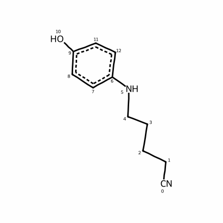 N#CCCCCNc1ccc(O)cc1